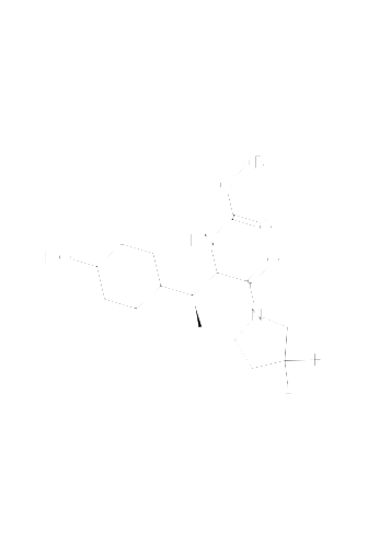 C[C@@H](C1CCC(O)CC1)C(NC(=O)OC(C)(C)C)C(=O)N1CCC(F)(F)C1